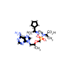 C/C(=N\OP(=O)(CO[C@@H](C)Cn1cnc2c(N)ncnc21)N(C(C)C)[C@@H](C)C(=O)O)C1CCCC1